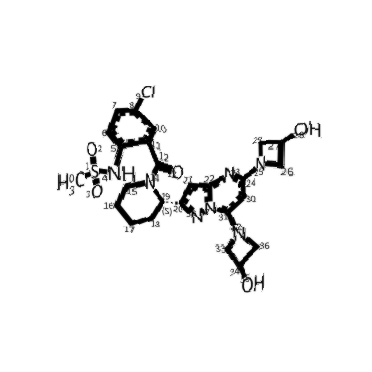 CS(=O)(=O)Nc1ccc(Cl)cc1C(=O)N1CCCC[C@H]1c1cc2nc(N3CC(O)C3)cc(N3CC(O)C3)n2n1